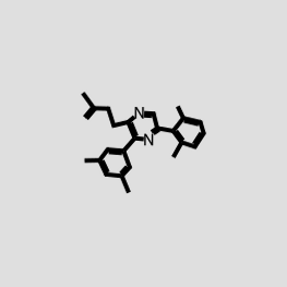 C=C(C)CCc1ncc(-c2c(C)cccc2C)nc1-c1cc(C)cc(C)c1